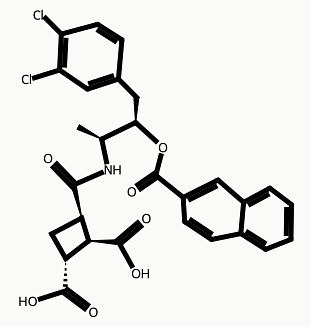 C[C@H](NC(=O)[C@@H]1C[C@@H](C(=O)O)[C@@H]1C(=O)O)[C@@H](Cc1ccc(Cl)c(Cl)c1)OC(=O)c1ccc2ccccc2c1